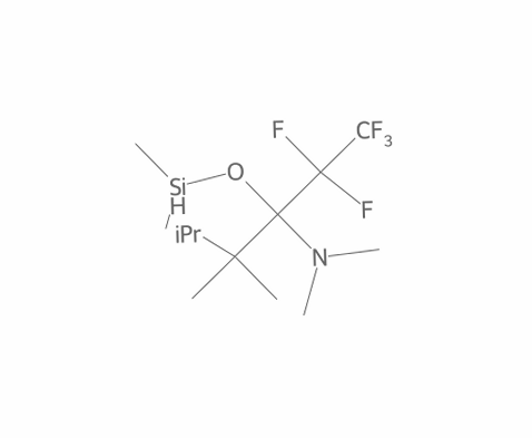 CC(C)C(C)(C)C(O[SiH](C)C)(N(C)C)C(F)(F)C(F)(F)F